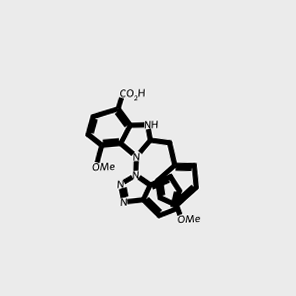 COc1ccc(CC2Nc3c(C(=O)O)ccc(OC)c3N2n2nnc3ccccc32)cc1